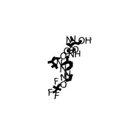 CC1CCN(c2nc(-n3ccc(OC(F)C(C)(C)C(F)F)n3)ccc2C(=O)NS(=O)(=O)c2cn(C)nc2CO)C1(C)C